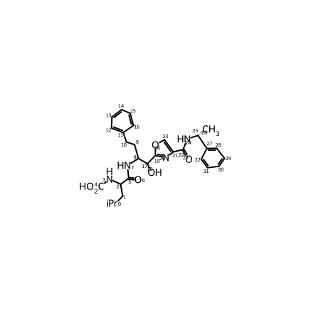 CC(C)CC(NC(=O)O)C(=O)NC(CCc1ccccc1)C(O)c1nc(C(=O)N[C@H](C)c2ccccc2)co1